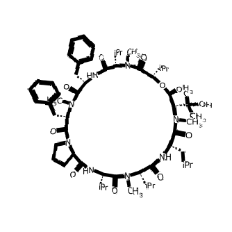 CC(C)C[C@@H]1NC(=O)[C@H](C(C)C)N(C)C(=O)[C@H](C(C)C)NC(=O)C2CCCN2C(=O)[C@H](Cc2ccccc2)N(C)C(=O)[C@H](Cc2ccccc2)NC(=O)[C@H](C(C)C)N(C)C(=O)[C@H](C(C)C)OC(=O)[C@H](C(C)(C)O)N(C)C1=O